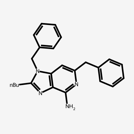 CCCCc1nc2c(N)nc(Cc3ccccc3)cc2n1Cc1ccccc1